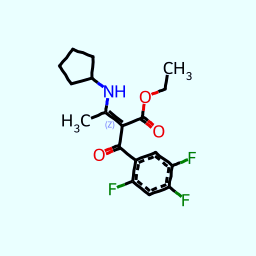 CCOC(=O)/C(C(=O)c1cc(F)c(F)cc1F)=C(/C)NC1CCCC1